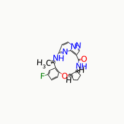 C[C@H]1Nc2ccn3ncc(c3n2)C(=O)N[C@@H]2CCC[C@H]2Oc2ccc(F)cc21